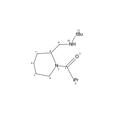 CC(C)C(=O)N1CCCCC1CNC(C)(C)C